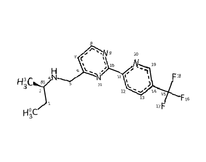 CC[C@@H](C)NCc1ccnc(-c2ccc(C(F)(F)F)cn2)n1